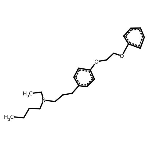 CCCCN(CC)CCCc1ccc(OCCOc2ccccc2)cc1